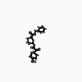 O=C(NCC1CN(C(=O)OCc2cccnc2)CCO1)c1ccc(O)cc1